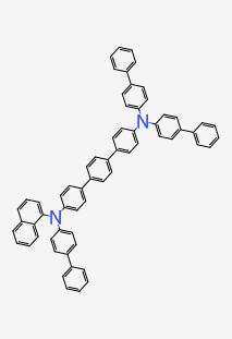 c1ccc(-c2ccc(N(c3ccc(-c4ccccc4)cc3)c3ccc(-c4ccc(-c5ccc(N(c6ccc(-c7ccccc7)cc6)c6cccc7ccccc67)cc5)cc4)cc3)cc2)cc1